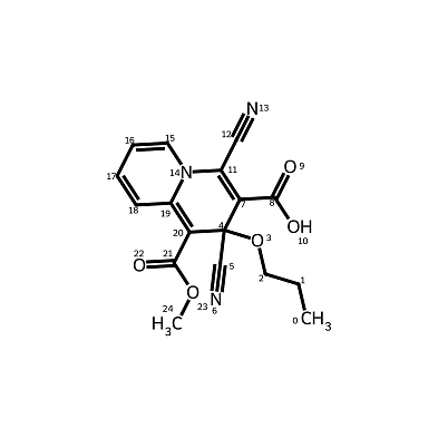 CCCOC1(C#N)C(C(=O)O)=C(C#N)N2C=CC=CC2=C1C(=O)OC